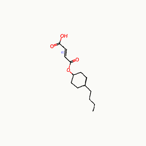 CCCCC1CCC(OC(=O)/C=C/C(=O)O)CC1